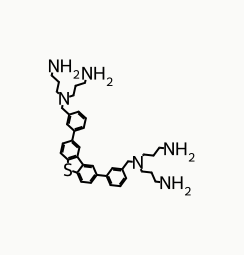 NCCCN(CCCN)Cc1cccc(-c2ccc3sc4ccc(-c5cccc(CN(CCCN)CCCN)c5)cc4c3c2)c1